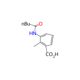 CCCCC(=O)Nc1cccc(C(=O)O)c1C